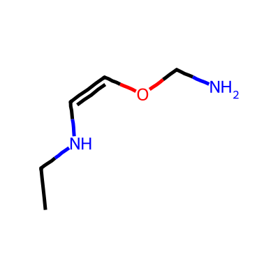 CCN/C=C\OCN